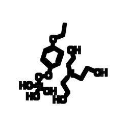 CCOc1ccc(O[O][Ti]([OH])([OH])[OH])cc1.OCCN(CCO)CCO